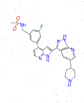 CS(=O)(=O)NCc1cc(F)cc(-c2ccnc3[nH]c(-c4n[nH]c5ncc(C6CCNCC6)cc45)cc23)c1